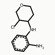 Nc1ccccc1NC1CCO[CH]C1Cl